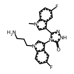 Cn1cc(-c2n[nH]c(=O)n2-c2cn(CCCN)c3ccc(F)cc23)c2cc(F)ccc21